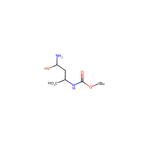 CC(C)(C)OC(=O)NC(CC(N)S)C(=O)O